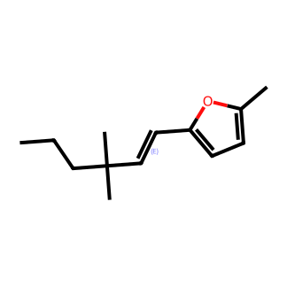 CCCC(C)(C)/C=C/c1ccc(C)o1